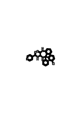 O=C(NC1NC(c2ccccc2)(c2cccc(Cl)c2)c2ccccc2NC1=O)c1ccncc1